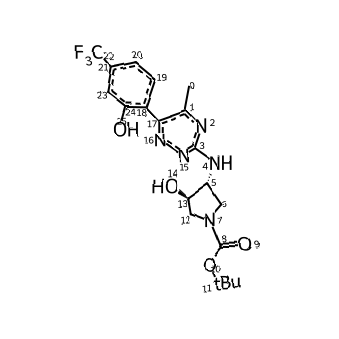 Cc1nc(N[C@@H]2CN(C(=O)OC(C)(C)C)C[C@H]2O)nnc1-c1ccc(C(F)(F)F)cc1O